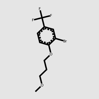 COCCCOc1ccc(C(F)(F)F)cc1Br